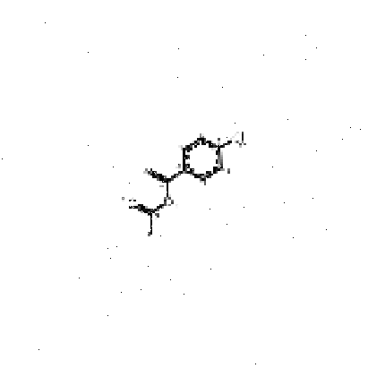 C=C(OC(C)=O)c1ccc(Cl)cc1